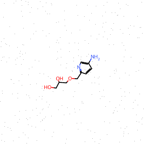 Nc1ccc(COCC(O)CO)nc1